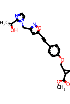 COC(=O)C1CC1COc1ccc(C#Cc2cc(Cn3ccnc3[C@H](C)O)no2)cc1